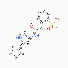 CS(=O)(=O)c1ccccc1CC(=O)Nc1cc([C@H]2C[CH]CC2)[nH]n1